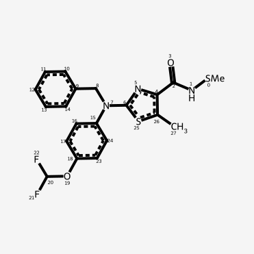 CSNC(=O)c1nc(N(Cc2ccccc2)c2ccc(OC(F)F)cc2)sc1C